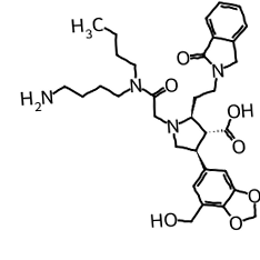 CCCCN(CCCCN)C(=O)CN1C[C@H](c2cc(CO)c3c(c2)OCO3)[C@@H](C(=O)O)[C@@H]1CCN1Cc2ccccc2C1=O